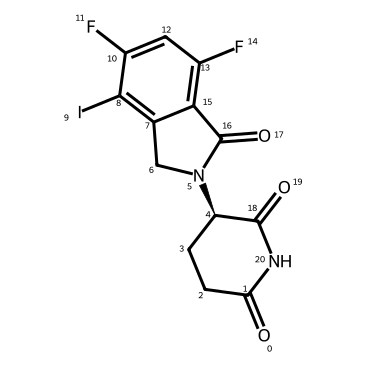 O=C1CC[C@@H](N2Cc3c(I)c(F)cc(F)c3C2=O)C(=O)N1